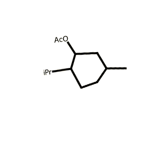 [CH]C(=O)OC1CC(C)CCC1C(C)C